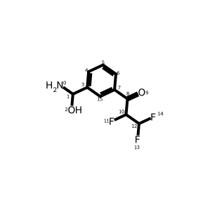 NC(O)c1cccc(C(=O)C(F)C(F)F)c1